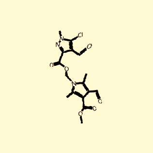 COC(=O)c1c(C=O)c(C)n(COC(=O)c2nn(C)c(Cl)c2C=O)c1C